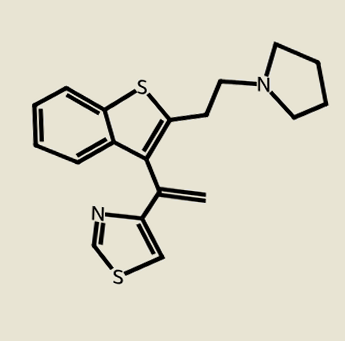 C=C(c1cscn1)c1c(CCN2CCCC2)sc2ccccc12